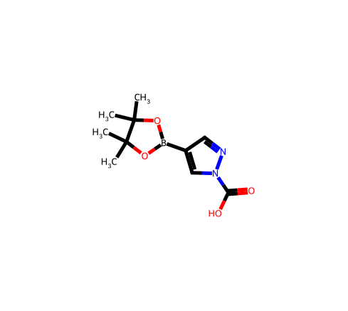 CC1(C)OB(c2cnn(C(=O)O)c2)OC1(C)C